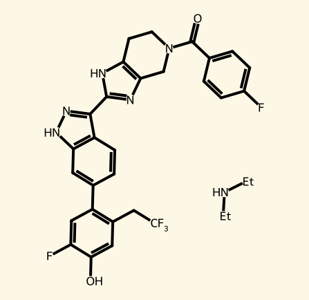 CCNCC.O=C(c1ccc(F)cc1)N1CCc2[nH]c(-c3n[nH]c4cc(-c5cc(F)c(O)cc5CC(F)(F)F)ccc34)nc2C1